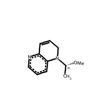 CO[C@H](C)N1CC=Cc2ncccc21